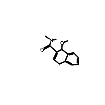 COC1C(C(=O)N(C)C)=C[CH]c2ccccc21